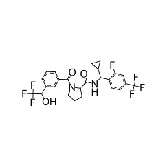 O=C(NC(c1ccc(C(F)(F)F)cc1F)C1CC1)[C@H]1CCCN1C(=O)c1cccc(C(O)C(F)(F)F)c1